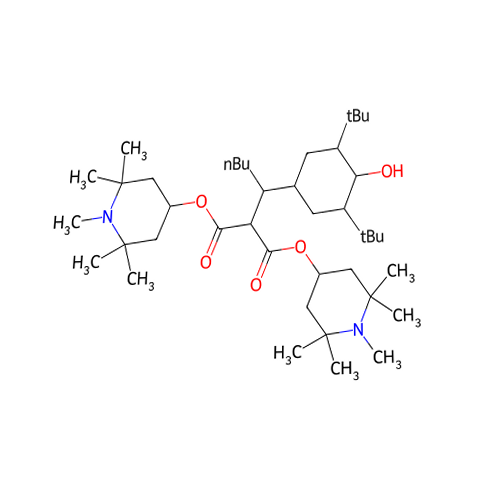 CCCCC(C1CC(C(C)(C)C)C(O)C(C(C)(C)C)C1)C(C(=O)OC1CC(C)(C)N(C)C(C)(C)C1)C(=O)OC1CC(C)(C)N(C)C(C)(C)C1